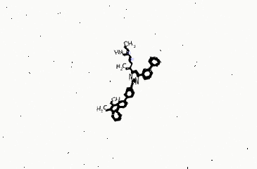 C=C/C=C(C=N)/C=C/CC(C=C)c1cc(-c2cccc(-c3ccccc3)c2)nc(-c2ccc(-c3ccc4c(c3)c(C=C)c(C=C)c3ccccc34)cc2)n1